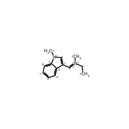 CC/[N+](C)=C/c1cn(C)c2ccccc12